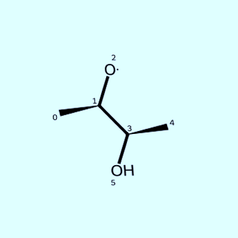 C[C@@H]([O])[C@@H](C)O